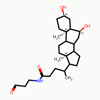 CC(CCC(=O)NCCC=O)C1CCC2C3C[C@H](O)C4C[C@H](O)CC[C@]4(C)C3CC[C@]12C